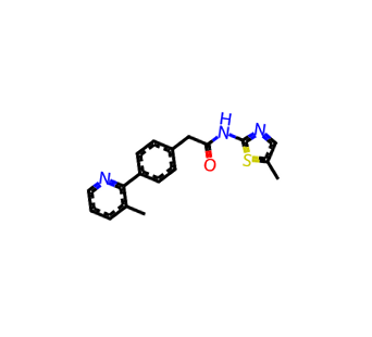 Cc1cnc(NC(=O)Cc2ccc(-c3ncccc3C)cc2)s1